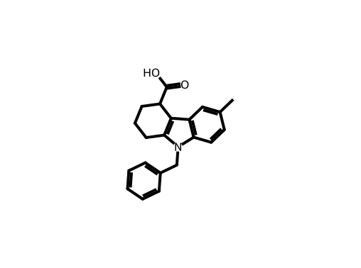 Cc1ccc2c(c1)c1c(n2Cc2ccccc2)CCCC1C(=O)O